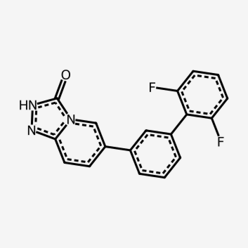 O=c1[nH]nc2ccc(-c3cccc(-c4c(F)cccc4F)c3)cn12